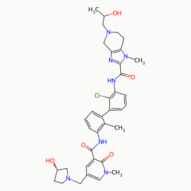 Cc1c(NC(=O)c2cc(CN3CC[C@@H](O)C3)cn(C)c2=O)cccc1-c1cccc(NC(=O)c2nc3c(n2C)CCN(CC(C)O)C3)c1Cl